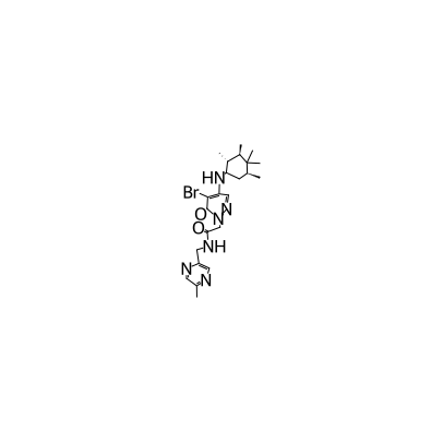 Cc1cnc(CNC(=O)Cn2ncc(N[C@@H]3C[C@H](C)C(C)(C)[C@H](C)[C@H]3C)c(Br)c2=O)cn1